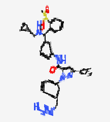 CS(=O)(=O)c1ccccc1C(NCC1CC1)c1cccc(NC(=O)c2cc(C(F)(F)F)nn2-c2cccc(CN)c2)c1